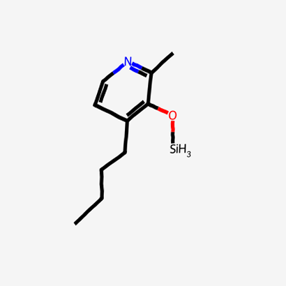 CCCCc1ccnc(C)c1O[SiH3]